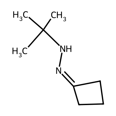 CC(C)(C)NN=C1CCC1